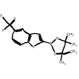 CC1(C)OB(c2cc3cc(C(F)(F)F)ccc3s2)OC1(C)C